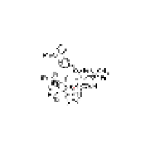 COc1ccccc1-c1nccc(COc2ccc(O[Si](C)(C)C(C)(C)C)cc2CC(Oc2ncnc3sc(Br)c(-c4c(C)c(Cl)c(O[Si](C(C)C)(C(C)C)C(C)C)c(Cl)c4C)c23)C(=O)O)n1